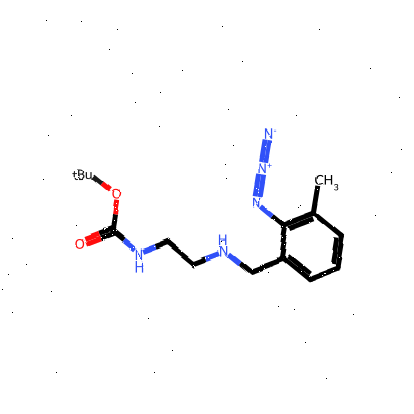 Cc1cccc(CNCCNC(=O)OC(C)(C)C)c1N=[N+]=[N-]